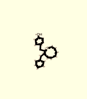 Oc1ccc(Cc2sccccccc2Cc2ccccc2)cc1